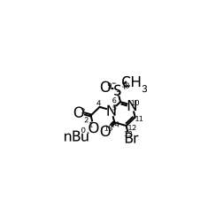 CCCCOC(=O)Cn1c([S+](C)[O-])ncc(Br)c1=O